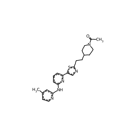 CC(=O)N1CCC(CCc2ncc(-c3cccc(Nc4cc(C)ccn4)n3)s2)CC1